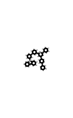 c1ccc(-c2ccc(-c3cc(-c4ccccc4)nc(-c4cccc(-c5cccc(-n6c7ccccc7c7ccccc76)c5)c4)c3)cc2)cc1